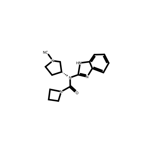 N#CN1CC[C@@H](N(C(=O)N2CCC2)c2nc3ccccc3[nH]2)C1